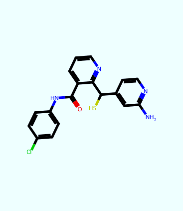 Nc1cc(C(S)c2ncccc2C(=O)Nc2ccc(Cl)cc2)ccn1